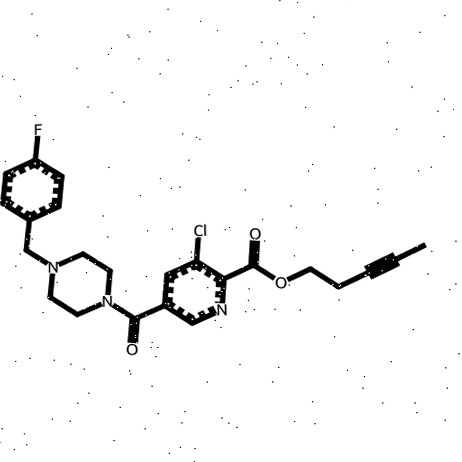 CC#CCCOC(=O)c1ncc(C(=O)N2CCN(Cc3ccc(F)cc3)CC2)cc1Cl